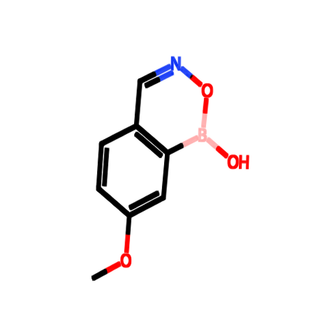 COc1ccc2c(c1)B(O)ON=C2